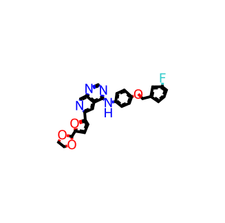 Fc1cccc(COc2ccc(Nc3ncnc4cnc(-c5ccc(C6OCCO6)o5)cc34)cc2)c1